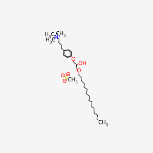 CCCCCCCCCCCCCCCCOCC(O)COc1ccc(CCCC[N+](C)(C)C)cc1.CS(=O)(=O)[O-]